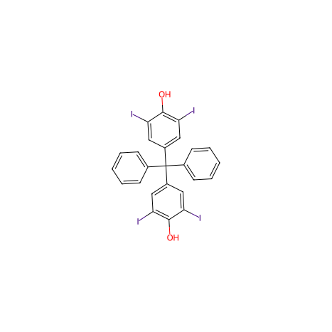 Oc1c(I)cc(C(c2ccccc2)(c2ccccc2)c2cc(I)c(O)c(I)c2)cc1I